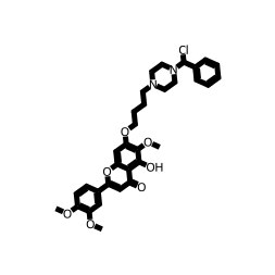 COc1ccc(-c2cc(=O)c3c(O)c(OC)c(OCCCCN4CCN(C(Cl)c5ccccc5)CC4)cc3o2)cc1OC